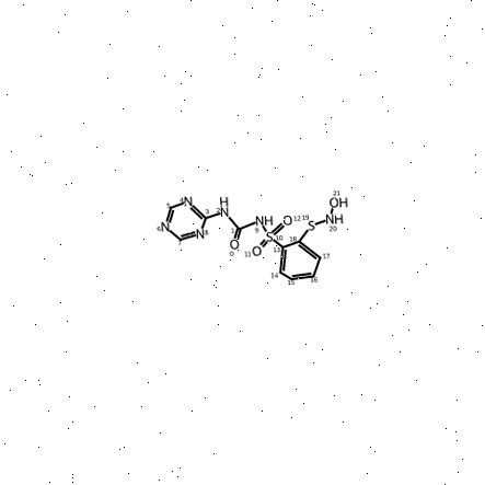 O=C(Nc1ncncn1)NS(=O)(=O)c1ccccc1SNO